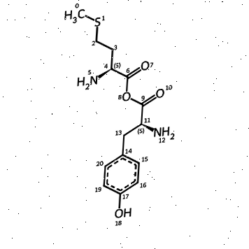 CSCC[C@H](N)C(=O)OC(=O)[C@@H](N)Cc1ccc(O)cc1